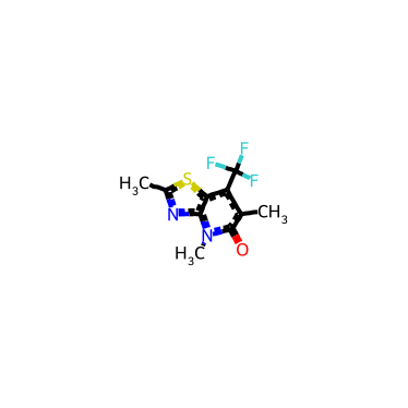 Cc1nc2c(s1)c(C(F)(F)F)c(C)c(=O)n2C